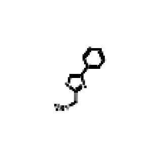 CNCc1nc(-c2ccccc2)cs1